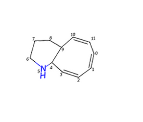 C1=C\C=C/C2NCCCC2\C=C/1